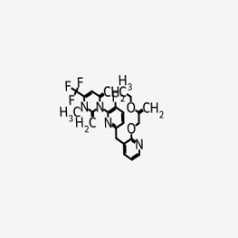 C=C(COc1ncccc1Cc1ccc(F)c(N2C(=C)C=C(C(F)(F)F)N(C)C2=C)n1)OCC